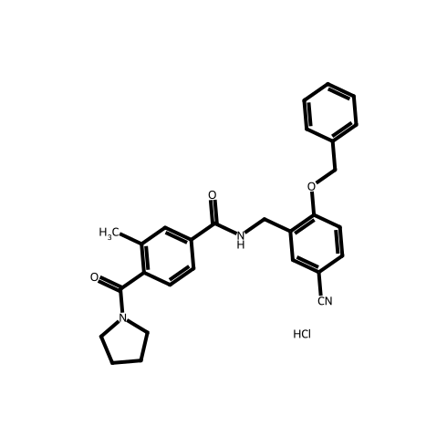 Cc1cc(C(=O)NCc2cc(C#N)ccc2OCc2ccccc2)ccc1C(=O)N1CCCC1.Cl